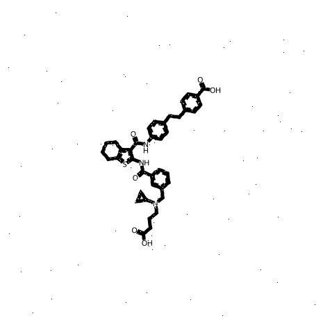 O=C(O)CCCN(Cc1cccc(C(=O)Nc2sc3c(c2C(=O)Nc2ccc(CCc4ccc(C(=O)O)cc4)cc2)CCCC3)c1)C1CC1